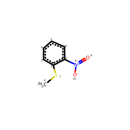 CSc1[c]cccc1[N+](=O)[O-]